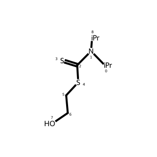 CC(C)N(C(=S)SCCO)C(C)C